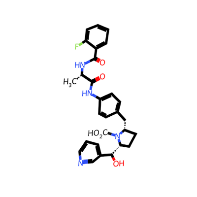 C[C@H](NC(=O)c1ccccc1F)C(=O)Nc1ccc(C[C@@H]2CC[C@H](C(O)c3cccnc3)N2C(=O)O)cc1